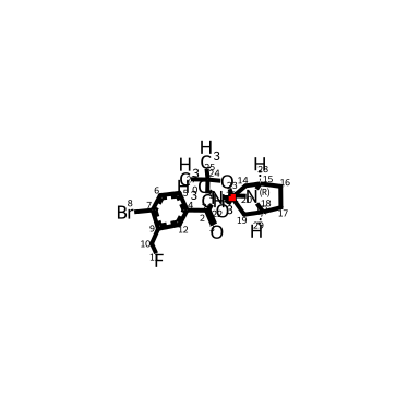 CN(C(=O)c1ccc(Br)c(CF)c1)C1C[C@H]2CC[C@@H](C1)N2C(=O)OC(C)(C)C